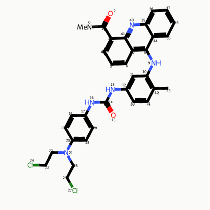 CNC(=O)c1cccc2c(Nc3cc(NC(=O)Nc4ccc(N(CCCl)CCCl)cc4)ccc3C)c3ccccc3nc12